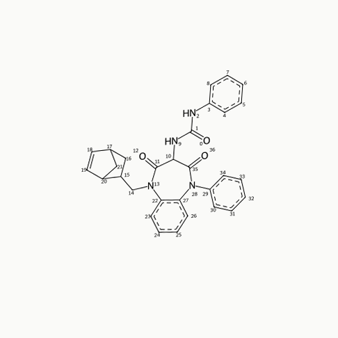 O=C(Nc1ccccc1)NC1C(=O)N(CC2CC3C=CC2C3)c2ccccc2N(c2ccccc2)C1=O